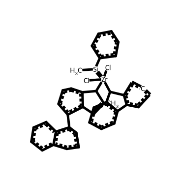 CC1=Cc2c(-c3cccc4ccccc34)cccc2[CH]1[Zr]([Cl])([Cl])([CH]1c2ccccc2-c2ccccc21)=[Si](C)c1ccccc1